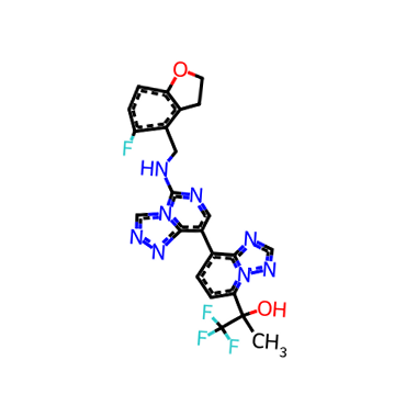 CC(O)(c1ccc(-c2cnc(NCc3c(F)ccc4c3CCO4)n3cnnc23)c2ncnn12)C(F)(F)F